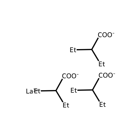 CCC(CC)C(=O)[O-].CCC(CC)C(=O)[O-].CCC(CC)C(=O)[O-].[La+3]